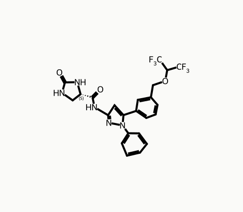 O=C1NC[C@@H](C(=O)Nc2cc(-c3cccc(COC(C(F)(F)F)C(F)(F)F)c3)n(-c3ccccc3)n2)N1